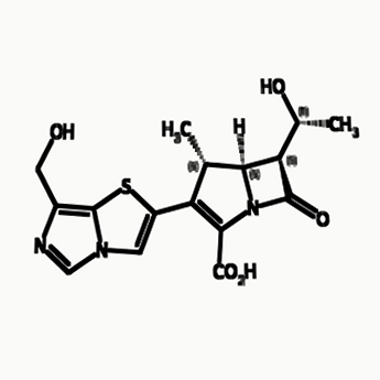 C[C@@H](O)[C@H]1C(=O)N2C(C(=O)O)=C(c3cn4cnc(CO)c4s3)[C@H](C)[C@@H]12